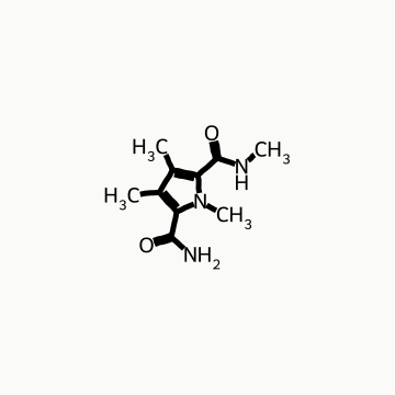 CNC(=O)c1c(C)c(C)c(C(N)=O)n1C